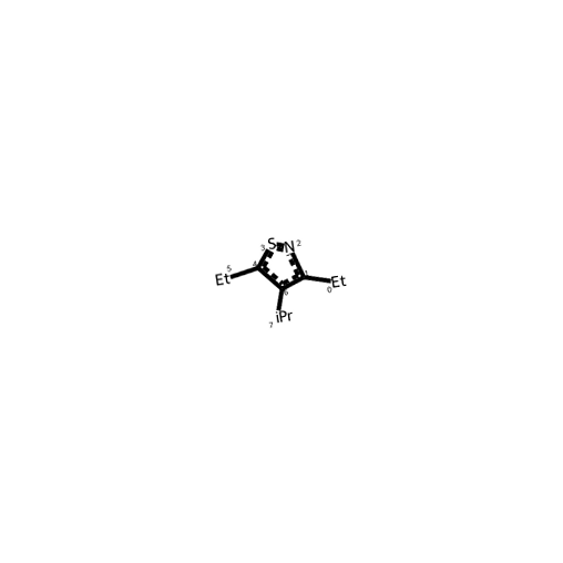 CCc1nsc(CC)c1C(C)C